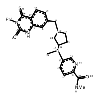 CCn1c(=O)[nH]c2cc(CN3CCC(N(C)c4ccc(C(=O)NC)nc4)C3)ccc2c1=S